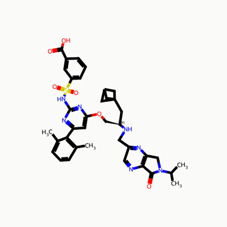 Cc1cccc(C)c1-c1cc(OC[C@@H](CC23CC(C2)C3)NCc2cnc3c(n2)CN(C(C)C)C3=O)nc(NS(=O)(=O)c2cccc(C(=O)O)c2)n1